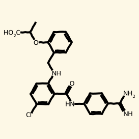 CC(Oc1ccccc1CNc1ccc(Cl)cc1C(=O)Nc1ccc(C(=N)N)cc1)C(=O)O